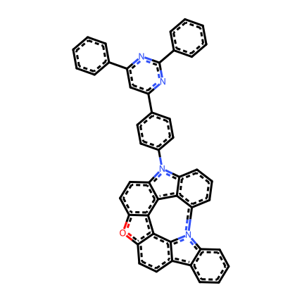 c1ccc(-c2cc(-c3ccc(-n4c5ccc6oc7ccc8c9ccccc9n9c%10cccc4c%10c5c6c7c89)cc3)nc(-c3ccccc3)n2)cc1